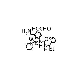 CCC(NC(=O)Nc1cccc(CN)c1S(=O)(=O)N1CCCCC1)c1cccs1.O=CO